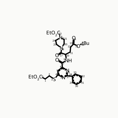 CCOC(=O)CCSc1cc(C(=O)NC(CCC(=O)OC(C)(C)C)C(=O)N2CCN(C(=O)OCC)CC2)nc(-c2ccccc2)n1